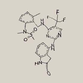 Cc1cccc(N(C)S(C)(=O)=O)c1CNc1nc(Nc2cccc3c2CC(=O)N3)ncc1C(F)(F)F